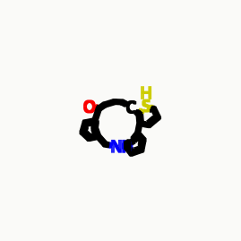 O=C1CCCCC2=C(C=CC=[SH]2)c2cccc(c2)NCc2cccc1c2